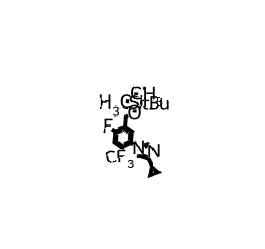 CC(C)(C)[Si](C)(C)OCc1cc(-n2cnc(C3CC3)c2)c(C(F)(F)F)cc1F